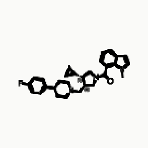 Cn1ccc2cccc(C(=O)N3C[C@@H](CN4CCC(c5ccc(F)cc5)CC4)[C@H](C4CC4)C3)c21